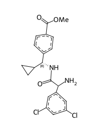 COC(=O)c1ccc([C@H](NC(=O)C(N)c2cc(Cl)cc(Cl)c2)C2CC2)cc1